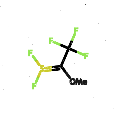 COC(=S(F)F)C(F)(F)F